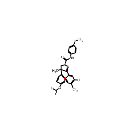 CC1(c2ccc(OC(F)F)cc2)CN(C(=O)Nc2ccc(OC(F)(F)F)cc2)N=C1c1ccc(C(F)(F)F)c(Cl)c1